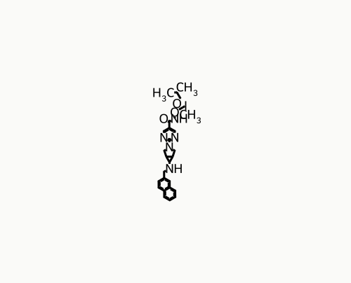 CC(C)COC(C)(I)ONC(=O)c1cnc(N2CC3C(C2)C3NCc2ccc3ccccc3c2)nc1